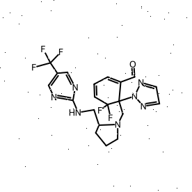 O=CC1=CC=CC(F)(F)C1(CN1CCCC1CNc1ncc(C(F)(F)F)cn1)n1nccn1